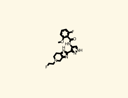 COc1cccc(F)c1C(=O)Nc1c[nH]nc1-c1nc2c([nH]1)CCN(CCF)C2